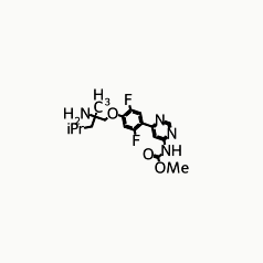 COC(=O)Nc1cc(-c2cc(F)c(OC[C@@](C)(N)CC(C)C)cc2F)ncn1